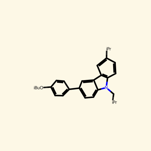 CC(C)COc1ccc(-c2ccc3c(c2)c2cc(C(C)C)ccc2n3CC(C)C)cc1